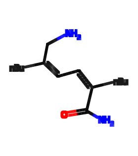 CCCCC(=CC=C(CCCC)C(N)=O)CN